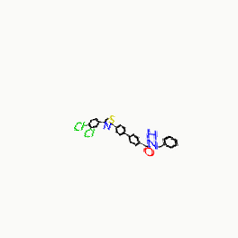 O=C(NCc1ccccc1)c1ccc(-c2ccc(-c3nc(-c4ccc(Cl)c(Cl)c4)cs3)cc2)cc1